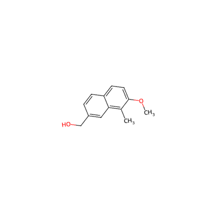 COc1ccc2ccc(CO)cc2c1C